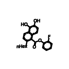 CCCCCCc1ccc2c(O)c(O)ccc2c1C(=O)Oc1ccccc1F